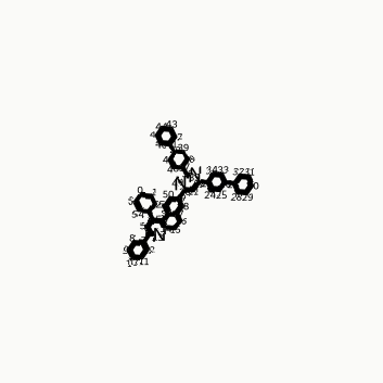 C1=CCC(c2cc(-c3ccccc3)nc3ccc4cc(-c5cc(-c6ccc(-c7ccccc7)cc6)nc(C6=CCC(c7ccccc7)C=C6)n5)ccc4c23)C=C1